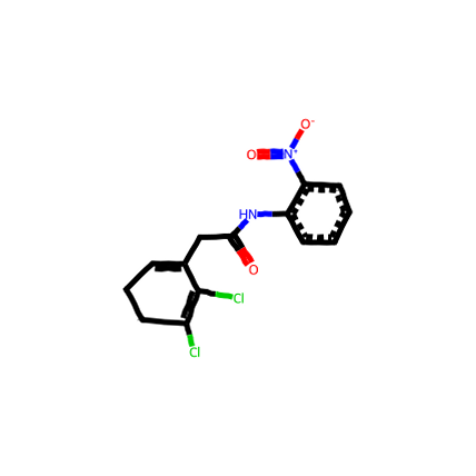 O=C(CC1=CC[CH]C(Cl)=C1Cl)Nc1ccccc1[N+](=O)[O-]